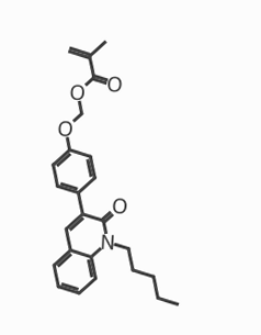 C=C(C)C(=O)OCOc1ccc(-c2cc3ccccc3n(CCCCC)c2=O)cc1